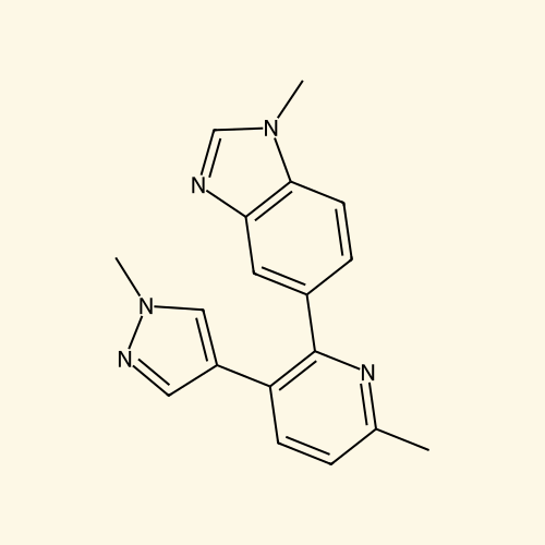 Cc1ccc(-c2cnn(C)c2)c(-c2ccc3c(c2)ncn3C)n1